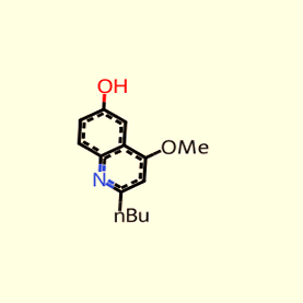 CCCCc1cc(OC)c2cc(O)ccc2n1